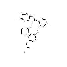 COC(=O)Cc1ccc(COc2cc(Cl)ccc2-c2nc3cc(F)c(F)cc3n2CC2CCCCC2)cc1